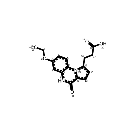 CCOc1ccc2c(c1)[nH]c(=O)c1ccc(CCC(=O)O)n12